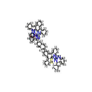 c1ccc(-c2nc(-n3c4ccccc4c4c5cc(-c6ccc7cc(-c8nc(-n9c%10ccccc%10c%10c%11ccccc%11c%11c%12ccccc%12n(-c%12ccccc%12)c%11c%109)nc9ccccc89)ccc7c6)ccc5c5c6ccccc6sc5c43)nc3ccccc23)cc1